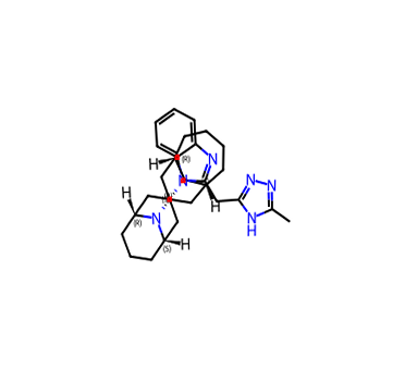 Cc1nnc(Cc2nc3ccccc3n2[C@H]2C[C@H]3CCC[C@@H](C2)N3[C@@H]2C[C@@H]3CCCC[C@@H](C3)C2)[nH]1